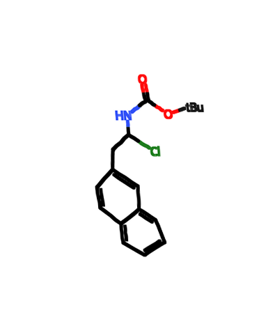 CC(C)(C)OC(=O)NC(Cl)Cc1ccc2ccccc2c1